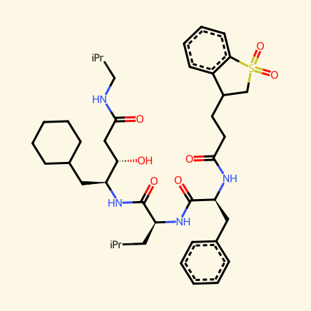 CC(C)CNC(=O)C[C@H](O)[C@H](CC1CCCCC1)NC(=O)[C@H](CC(C)C)NC(=O)[C@H](Cc1ccccc1)NC(=O)CCC1CS(=O)(=O)c2ccccc21